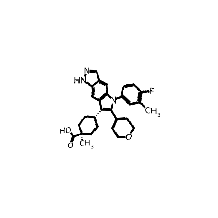 Cc1cc(-n2c(C3CCOCC3)c([C@H]3CC[C@](C)(C(=O)O)CC3)c3cc4[nH]ncc4cc32)ccc1F